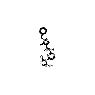 Cc1c([C@H](C)Nc2nccc(N3C(=O)OC[C@@H]3C(C)C)n2)cnn1Cc1ccccc1